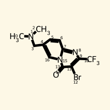 CN(C)Cc1ccc2nc(C(F)(F)F)c(Br)c(=O)n2c1